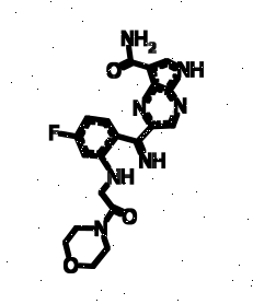 N=C(c1cnc2[nH]cc(C(N)=O)c2n1)c1ccc(F)cc1NCC(=O)N1CCOCC1